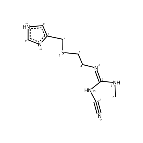 CN/C(=N/CCSCc1c[nH]cn1)NC#N